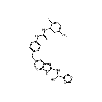 O=C(Nc1ccc(Oc2ccc3[nH]c(NC(O)c4ccco4)nc3c2)cc1)NC1CC(C(F)(F)F)=CC=C1F